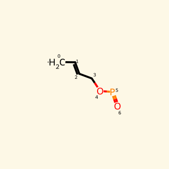 [CH2]C=CCOP=O